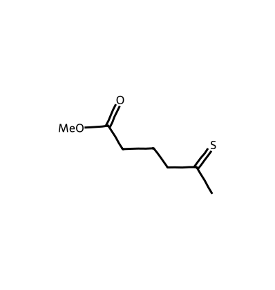 COC(=O)CCCC(C)=S